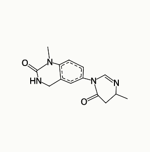 CC1CC(=O)N(c2ccc3c(c2)CNC(=O)N3C)C=N1